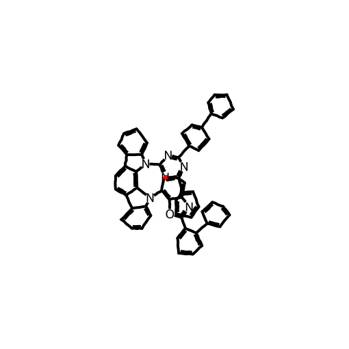 c1ccc(-c2ccc(-c3nc(-c4ccccc4)nc(-n4c5ccccc5c5ccc6c7ccccc7n(-c7cccc8nc(-c9ccccc9-c9ccccc9)oc78)c6c54)n3)cc2)cc1